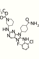 COC(=O)N1CCCC(Nc2ncc3nc(Nc4c(F)cccc4Cl)n(C4CCC(C(N)=O)CC4)c3n2)C1